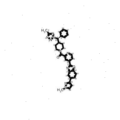 Cc1nnn([C@@H](c2ccccc2)C2CCN(C(=O)c3cc(-c4nc5cc(-c6ccn(C)n6)ccc5o4)ccn3)CC2)n1